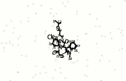 CC(C)OCCCNC(=O)C1c2c(n(C)c3ccccc23)SCC(=O)N1c1ccc(Cl)cc1